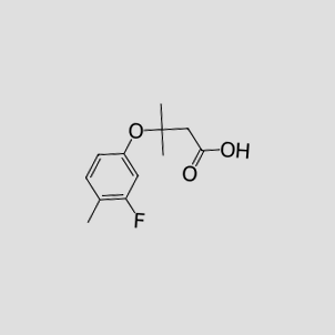 Cc1ccc(OC(C)(C)CC(=O)O)cc1F